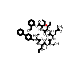 CC[C@H](C)C(NC(=O)[C@H](NC(=O)[C@@H](CCC(N)=O)NC(=O)[C@H](CO)NC(=O)[C@@H](NC(=O)[C@@H](Cc1ccc(-c2ccccc2)cc1)NC)[C@@H](C)CC)[C@@H](C)CC)C(=O)Oc1ccccc1C=O